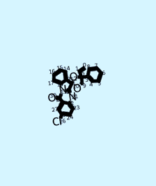 C=CC1(c2ccccc2)COC2(O1)c1ccccc1-n1c2nc2ccc(Cl)cc2c1=O